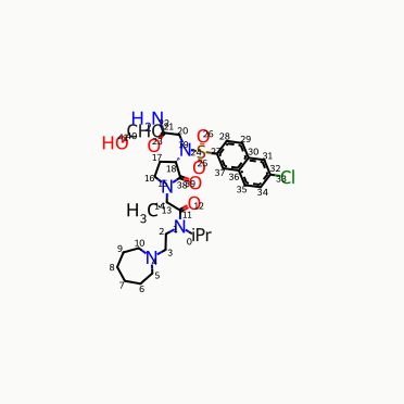 CC(C)N(CCN1CCCCCC1)C(=O)[C@H](C)N1CC[C@H](N(CC(N)=O)S(=O)(=O)c2ccc3cc(Cl)ccc3c2)C1=O.O=CO